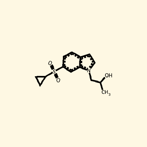 CC(O)Cn1ccc2ccc(S(=O)(=O)C3CC3)cc21